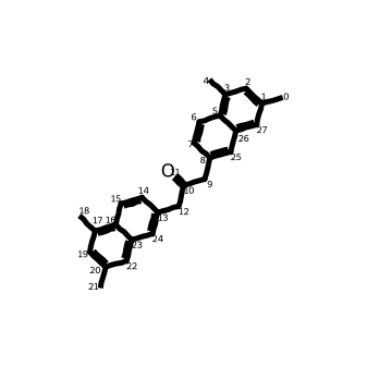 Cc1cc(C)c2ccc(CC(=O)Cc3ccc4c(C)cc(C)cc4c3)cc2c1